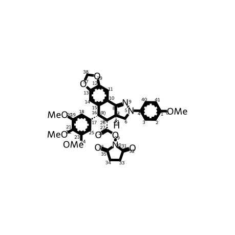 COc1ccc(N2C[C@@H]3C(=N2)c2cc4c(cc2[C@@H](c2cc(OC)c(OC)c(OC)c2)[C@H]3C(=O)ON2C(=O)CCC2=O)OCO4)cc1